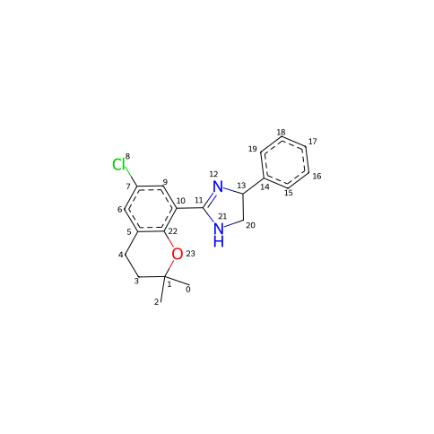 CC1(C)CCc2cc(Cl)cc(C3=NC(c4ccccc4)CN3)c2O1